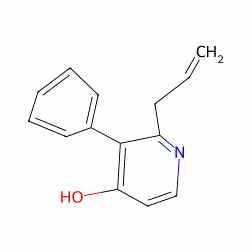 C=CCc1nccc(O)c1-c1ccccc1